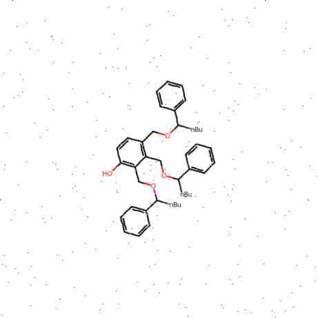 CCCCC(OCc1ccc(O)c(COC(CCCC)c2ccccc2)c1COC(CCCC)c1ccccc1)c1ccccc1